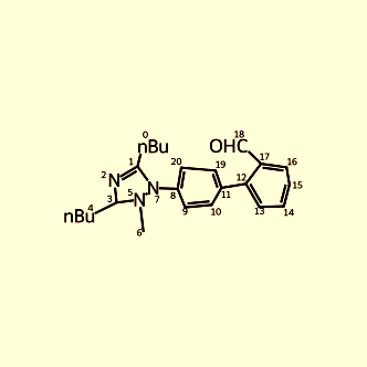 CCCCC1=NC(CCCC)N(C)N1c1ccc(-c2ccccc2C=O)cc1